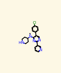 CN(c1nc(-c2cccnc2)ncc1-c1ccc(Cl)cc1)C1CCNCC1